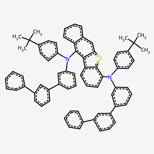 CC(C)(C)c1ccc(N(c2cccc(-c3cccc(-c4ccccc4)c3)c2)c2cccc3c2sc2cc4ccccc4c(N(c4ccc(C(C)(C)C)cc4)c4cccc(-c5cccc(-c6ccccc6)c5)c4)c23)cc1